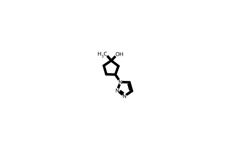 CC1(O)CCC(n2ccnn2)C1